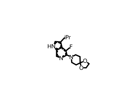 CC(C)c1c[nH]c2cnc(N3CCC4(CC3)OCCO4)c(F)c12